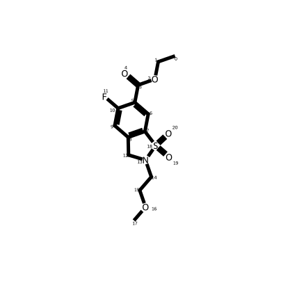 CCOC(=O)c1cc2c(cc1F)CN(CCOC)S2(=O)=O